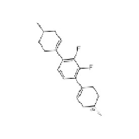 CC1CC=C(c2ccc(C3=CC[C@@H](C)CC3)c(F)c2F)CC1